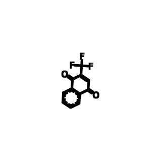 O=C1C=C(C(F)(F)F)C(=O)c2ccccc21